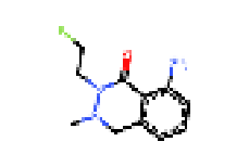 CN1Cc2cccc(N)c2C(=O)N1CCF